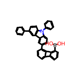 OB(O)c1cccc2c1-c1c(-c3ccc4c(c3)c3cc(-c5ccccc5)ccc3n4-c3ccccc3)cccc1-2